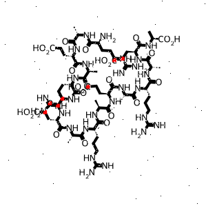 C[C@H](NC(=O)[C@H](CCC(=O)O)NC(=O)[C@H](C)NC(=O)[C@H](CCCNC(=N)N)NC(=O)[C@H](C)NC(=O)[C@H](CCC(=O)O)NC(=O)[C@H](C)NC(=O)[C@H](CCCNC(=N)N)NC(=O)[C@H](C)NC(=O)[C@H](CCC(=O)O)NC(=O)[C@H](C)NC(=O)[C@H](CCCNC(=N)N)NC(=O)[C@H](C)NC(=O)[C@H](CCC(=O)O)NC(=O)[C@H](C)NC(=O)[C@@H](N)CCCNC(=N)N)C(=O)O